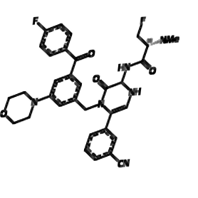 CN[C@@H](CF)C(=O)NC1NC=C(c2cccc(C#N)c2)N(Cc2cc(C(=O)c3ccc(F)cc3)cc(N3CCOCC3)c2)C1=O